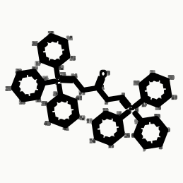 O=C(CC=P(c1ccccc1)(c1ccccc1)c1ccccc1)CC=P(c1ccccc1)(c1ccccc1)c1ccccc1